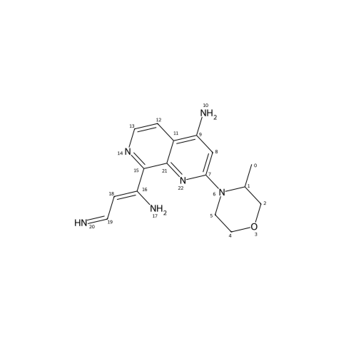 CC1COCCN1c1cc(N)c2ccnc(/C(N)=C/C=N)c2n1